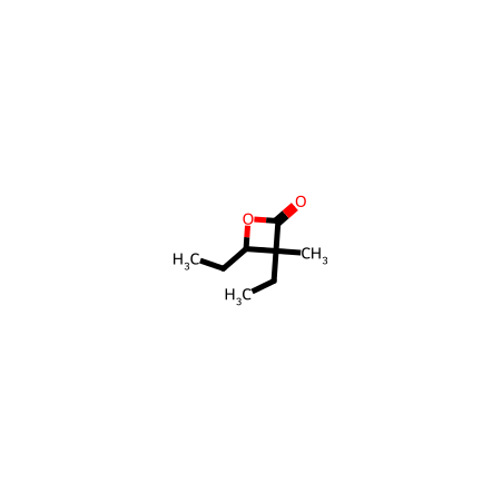 CCC1OC(=O)C1(C)CC